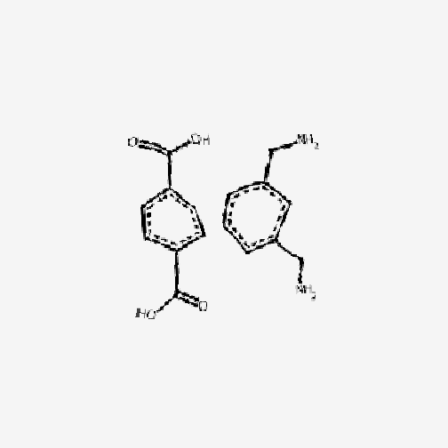 NCc1cccc(CN)c1.O=C(O)c1ccc(C(=O)O)cc1